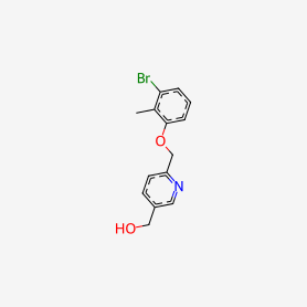 Cc1c(Br)cccc1OCc1ccc(CO)cn1